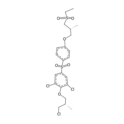 CCS(=O)(=O)C[C@H](C)COc1ccc(S(=O)(=O)c2cc(Cl)c(OC[C@H](C)CCl)c(Cl)c2)cc1